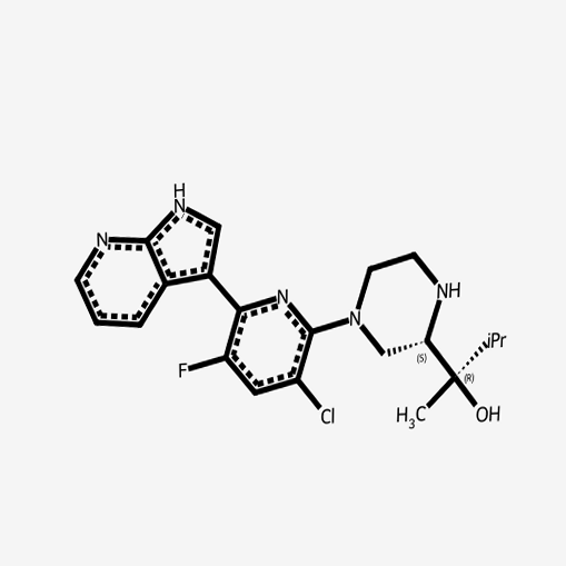 CC(C)[C@@](C)(O)[C@@H]1CN(c2nc(-c3c[nH]c4ncccc34)c(F)cc2Cl)CCN1